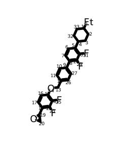 CCC1CCC(c2ccc(-c3ccc(COc4ccc(C5CO5)c(F)c4F)cc3)c(F)c2F)CC1